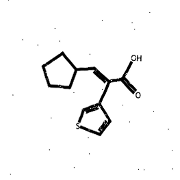 O=C(O)/C(=C/C1CCCC1)c1ccsc1